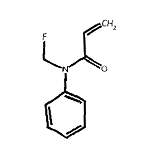 C=CC(=O)N(CF)c1ccccc1